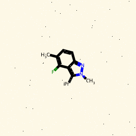 Cc1ccc2nn(C)c(C(C)C)c2c1F